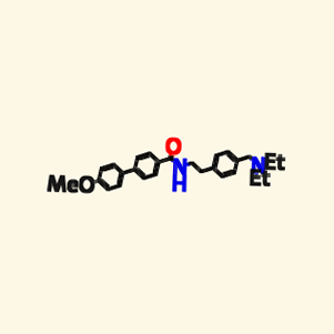 CCN(CC)Cc1ccc(CCNC(=O)c2ccc(-c3ccc(OC)cc3)cc2)cc1